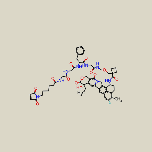 CC[C@@]1(O)C(=O)OCc2c1cc1n(c2=O)Cc2c-1cc1cc(F)c(C)c3c1c2[C@@H](NC(=O)C1(COCNC(=O)CNC(=O)[C@H](Cc2ccccc2)NC(=O)CNC(=O)CNC(=O)CCCCCN2C(=O)C=CC2=O)CCC1)CC3